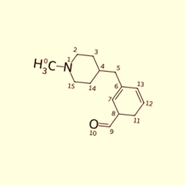 CN1CCC(CC2=CC(C=O)CC=C2)CC1